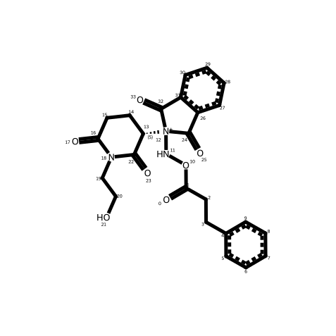 O=C(CCc1ccccc1)ON[N+]1([C@H]2CCC(=O)N(CCO)C2=O)C(=O)c2ccccc2C1=O